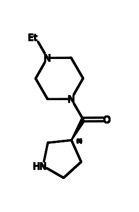 CCN1CCN(C(=O)[C@H]2CCNC2)CC1